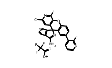 NC1=NC2(c3cc(-c4cccnc4F)ccc3Oc3c2cc(Cl)nc3F)c2cnccc21.O=C(O)C(F)(F)F